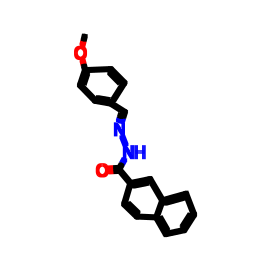 COc1ccc(/C=N/NC(=O)c2ccc3ccccc3c2)cc1